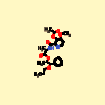 CCCO[C@H](c1ccccc1)[C@H](C)OC(=O)[C@H](C)NC(=O)c1nccc(OC)c1OC(C)=O